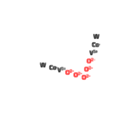 [Co].[Co].[O-2].[O-2].[O-2].[O-2].[O-2].[V+5].[V+5].[W].[W]